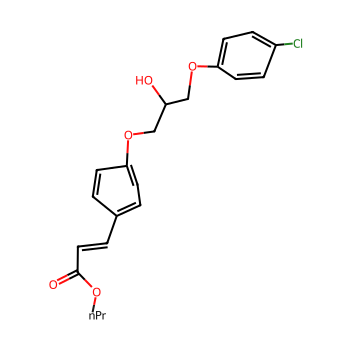 CCCOC(=O)C=Cc1ccc(OCC(O)COc2ccc(Cl)cc2)cc1